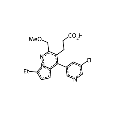 CCc1ccc2c(-c3cncc(Cl)c3)c(CCC(=O)O)c(COC)nn12